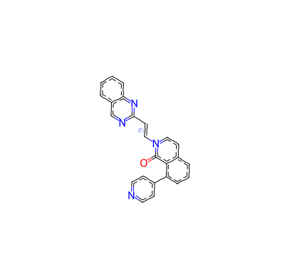 O=c1c2c(-c3ccncc3)cccc2ccn1/C=C/c1ncc2ccccc2n1